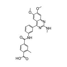 CNc1nc(-c2cccc(NC(=O)c3ccc(C(=O)O)c(C)c3)c2)c2cc(OC)c(OC)cc2n1